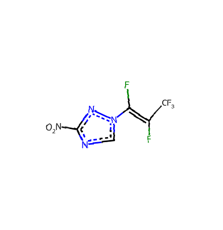 O=[N+]([O-])c1ncn(C(F)=C(F)C(F)(F)F)n1